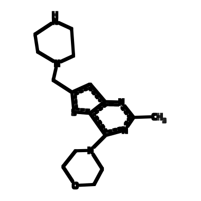 Cc1nc(N2CCOCC2)c2sc(CN3CCNCC3)cc2n1